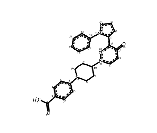 CC(=O)c1ccc(N2CCC(n3ccc(=O)c(-c4ccnn4-c4ccccc4)n3)CC2)cc1